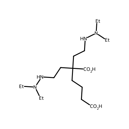 CCN(CC)NCCC(CCCC(=O)O)(CCNN(CC)CC)C(=O)O